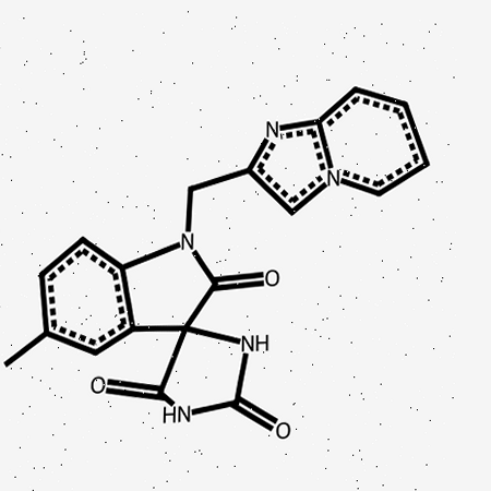 Cc1ccc2c(c1)C1(NC(=O)NC1=O)C(=O)N2Cc1cn2ccccc2n1